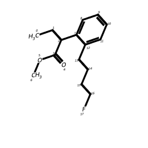 CCC(C(=O)OC)c1ccccc1CCCCF